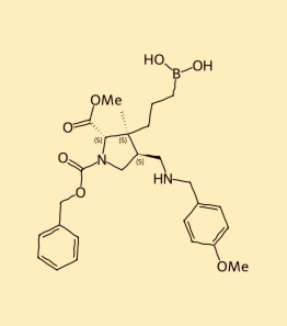 COC(=O)[C@H]1N(C(=O)OCc2ccccc2)C[C@H](CNCc2ccc(OC)cc2)[C@]1(C)CCCB(O)O